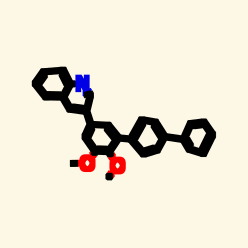 COc1cc(-c2cnc3ccccc3c2)cc(-c2ccc(-c3ccccc3)cc2)c1OC